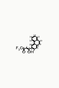 O=C(C=C(O)c1ccc2ccc3ccccc3c2c1)C(F)(F)F